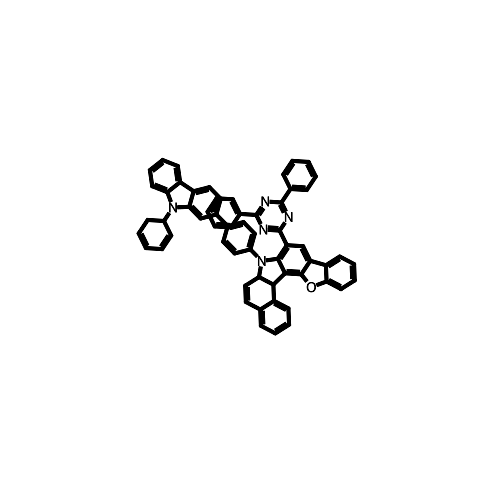 C1=CCC(n2c3ccccc3c3ccc(-c4ccc(N5c6c(-c7nc(-c8ccccc8)nc(-c8ccccc8)n7)cc7c(oc8ccccc87)c6C6c7ccccc7C=CC65)cc4)cc32)C=C1